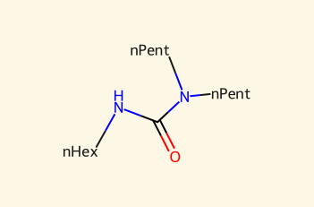 CCCCCCNC(=O)N(CCCCC)CCCCC